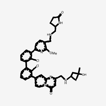 COc1nc(-c2cccc(-c3cccc(-c4ccn5c(=O)cc(CNC6CC(C)(O)C6)nc5c4)c3Cl)c2Cl)ccc1CNCC1CCC(=O)N1